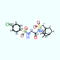 CC1(C)C2CCC13CS(=O)(=O)N(C(=O)CNS(=O)(=O)c1ccc(Cl)cc1)C3C2